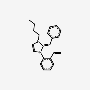 C=Cc1ccccc1N1C=CN(CCCC)/C1=C\c1ccccc1